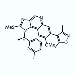 COc1cc2c(cc1-c1c(C)noc1C)ncc1nc(SC)n([C@H](C)c3cccc(C)n3)c12